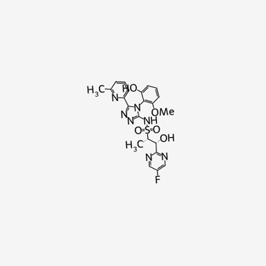 COc1cccc(O)c1-n1c(NS(=O)(=O)[C@@H](C)[C@H](O)c2ncc(F)cn2)nnc1C1=C=C=CC(C)=N1